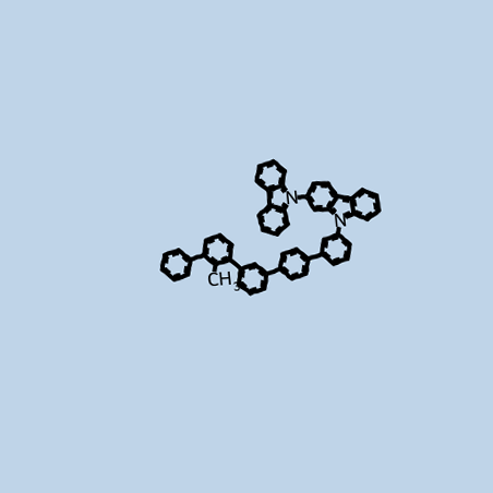 Cc1c(-c2ccccc2)cccc1-c1cccc(-c2ccc(-c3cccc(-n4c5ccccc5c5ccc(-n6c7ccccc7c7ccccc76)cc54)c3)cc2)c1